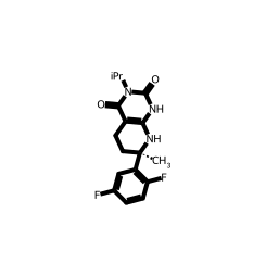 CC(C)n1c(=O)[nH]c2c(c1=O)CC[C@](C)(c1cc(F)ccc1F)N2